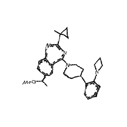 [CH2]C(OC)c1ccc2nc(C3(C)CC3)nc(N3CCC(c4ccccc4N4CCC4)CC3)c2c1